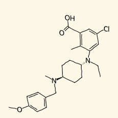 CCN(c1cc(Cl)cc(C(=O)O)c1C)[C@H]1CC[C@H](N(C)Cc2ccc(OC)cc2)CC1